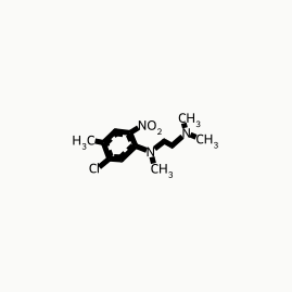 Cc1cc([N+](=O)[O-])c(N(C)CCN(C)C)cc1Cl